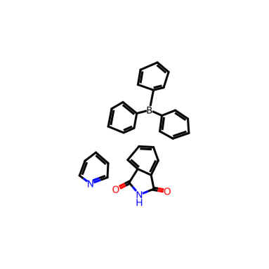 O=C1NC(=O)c2ccccc21.c1ccc(B(c2ccccc2)c2ccccc2)cc1.c1ccncc1